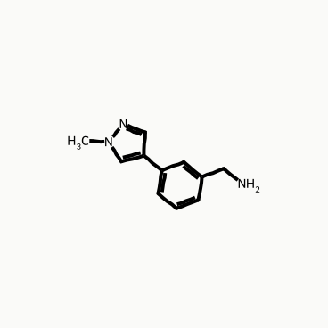 Cn1cc(-c2cccc(CN)c2)cn1